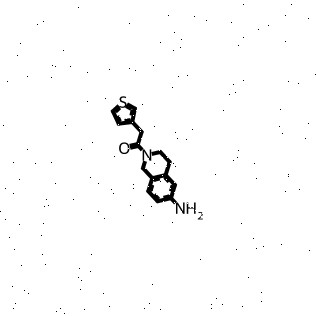 Nc1ccc2c(c1)CCN(C(=O)Cc1ccsc1)C2